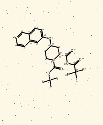 CC(C)(C)OC(=O)N1CC[C@@H](Oc2ccc3cnccc3c2)C[C@@H]1C(=O)OC(=O)C(F)(F)F